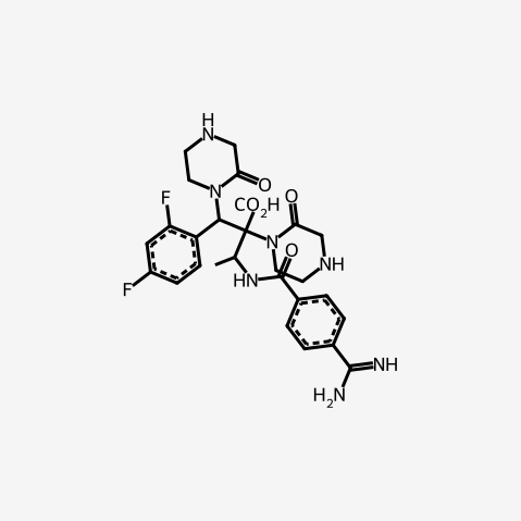 CC(NC(=O)c1ccc(C(=N)N)cc1)C(C(=O)O)(C(c1ccc(F)cc1F)N1CCNCC1=O)N1CCNCC1=O